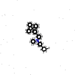 CC1C=CC=C(c2ccc(N(c3ccccc3)c3cccc(-c4ccc(C5(c6ccccc6)c6ccccc6-c6ccccc65)cc4)c3)cc2)C1